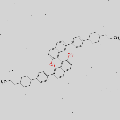 CCCC1CCC(c2ccc(-c3ccc4ccc(O)c(-c5c(O)ccc6ccc(-c7ccc(C8CCC(CCC)CC8)cc7)cc56)c4c3)cc2)CC1